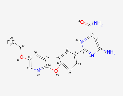 NC(=O)c1cc(N)nc(-c2ccc(Oc3ccc(OCC(F)(F)F)cn3)cc2)n1